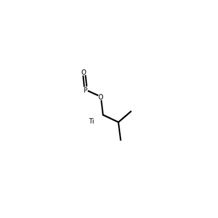 CC(C)COP=O.[Ti]